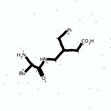 CCC(C)C(N)C(=O)NCC(CC(=O)O)CC(C)C